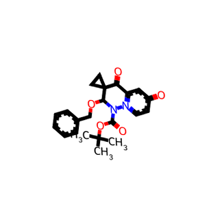 CC(C)(C)OC(=O)N1C(OCc2ccccc2)C2(CC2)C(=O)c2cc(=O)ccn21